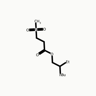 CCCCC(CC)COC(=O)CCS(C)(=O)=O